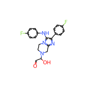 O=CC(O)N1CCn2c(nc(-c3ccc(F)cc3)c2Nc2ccc(F)cc2)C1